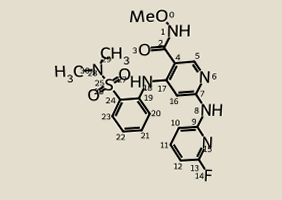 CONC(=O)c1cnc(Nc2cccc(F)n2)cc1Nc1ccccc1S(=O)(=O)N(C)C